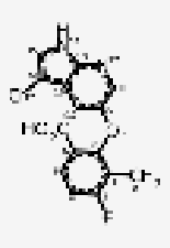 Cc1c(F)ccc(C(=O)O)c1Oc1cnc2[nH]cc(Cl)c2c1